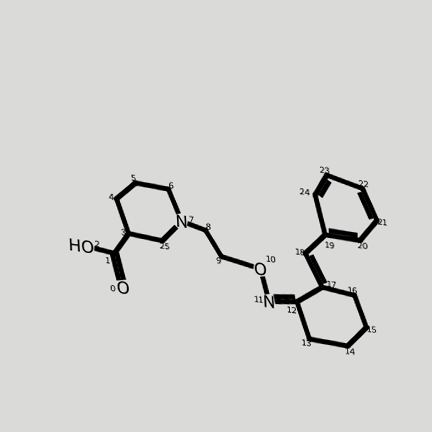 O=C(O)C1CCCN(CCON=C2CCCCC2=Cc2ccccc2)C1